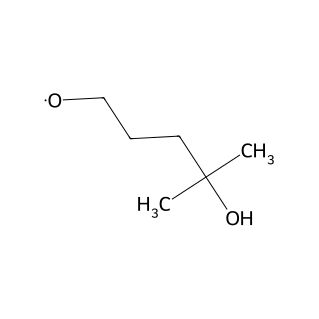 CC(C)(O)CCC[O]